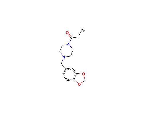 [CH2]C(C)CC(=O)N1CCN(Cc2ccc3c(c2)OCO3)CC1